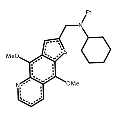 CCN(Cc1cc2c(OC)c3ncccc3c(OC)c2s1)C1CCCCC1